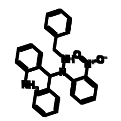 Nc1ccccc1C(c1ccccc1)N(NCc1ccccc1)c1ccccc1[N+](=O)[O-]